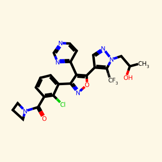 CC(O)Cn1ncc(-c2onc(-c3cccc(C(=O)N4CCC4)c3Cl)c2-c2ccncn2)c1C(F)(F)F